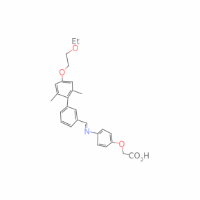 CCOCCOc1cc(C)c(-c2cccc(C=Nc3ccc(OCC(=O)O)cc3)c2)c(C)c1